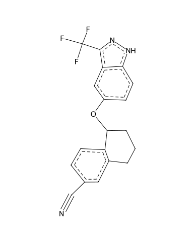 N#Cc1ccc2c(c1)CCCC2Oc1ccc2[nH]nc(C(F)(F)F)c2c1